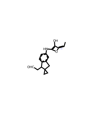 C/C=C1/OC(Nc2ccc3c(c2)CC2(CC2)C3CC=O)=C1O